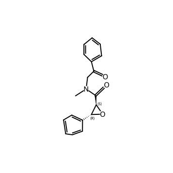 CN(CC(=O)c1ccccc1)C(=O)[C@H]1O[C@@H]1c1ccccc1